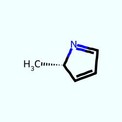 C[C@H]1C=CC=N1